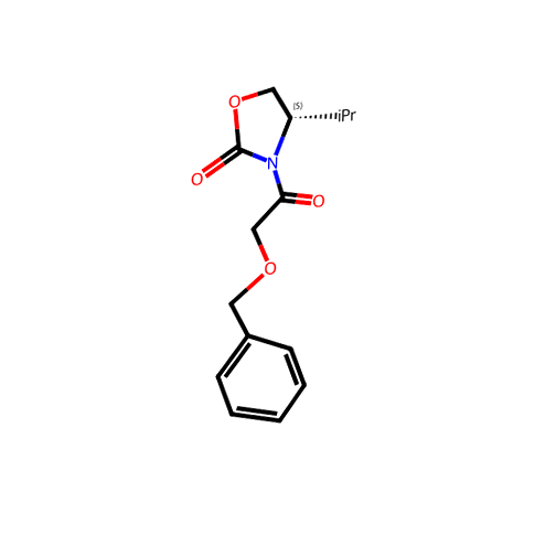 CC(C)[C@H]1COC(=O)N1C(=O)COCc1ccccc1